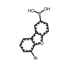 OB(O)c1ccc2oc3c(Br)cccc3c2c1